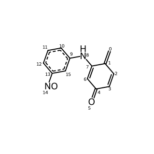 C=C1C=CC(=O)C=C1Nc1cccc(N=O)c1